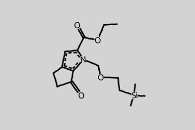 CCOC(=O)c1cc2c(n1COCC[Si](C)(C)C)C(=O)CC2